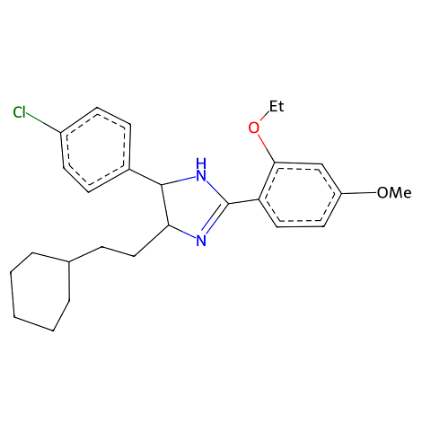 CCOc1cc(OC)ccc1C1=NC(CCC2CCCCC2)C(c2ccc(Cl)cc2)N1